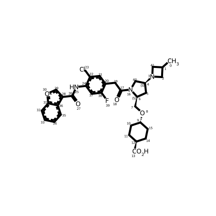 CC1CN([C@H]2C[C@@H](CO[C@H]3CC[C@H](C(=O)O)CC3)N(C(=O)Cc3cc(Cl)c(NC(=O)c4coc5ccccc45)cc3F)C2)C1